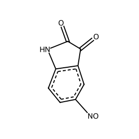 O=Nc1ccc2c(c1)C(=O)C(=O)N2